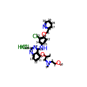 COCCN(C)CC(C)Oc1cccc2ncnc(Nc3ccc(OCc4ccccn4)c(Cl)c3)c12.Cl.Cl